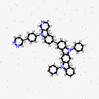 c1ccc(-n2c3ccccc3c3cc4c(cc32)c2cc(-c3ccc5c(c3)c3ccncc3n5-c3ccc(-c5ccnnc5)cc3)ccc2n4-c2ccccc2)cc1